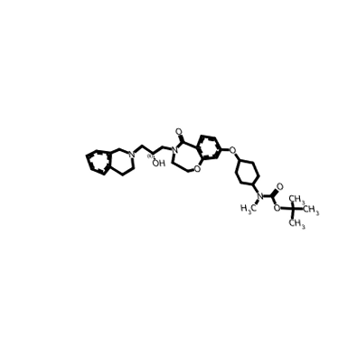 CN(C(=O)OC(C)(C)C)C1CCC(Oc2ccc3c(c2)OCCN(C[C@H](O)CN2CCc4ccccc4C2)C3=O)CC1